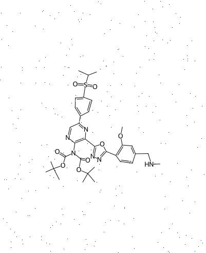 CNCc1ccc(-c2nnc(-c3nc(-c4ccc(S(=O)(=O)C(C)C)cc4)cnc3N(C(=O)OC(C)(C)C)C(=O)OC(C)(C)C)o2)c(OC)c1